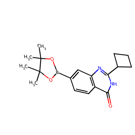 CC1(C)OB(c2ccc3c(=O)[nH]c(C4CCC4)nc3c2)OC1(C)C